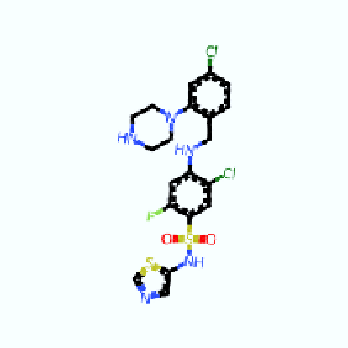 O=S(=O)(Nc1cncs1)c1cc(Cl)c(NCc2ccc(Cl)cc2N2CCNCC2)cc1F